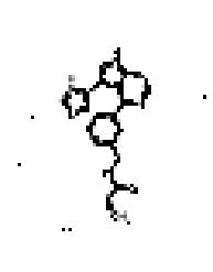 C=CC(=O)NCc1cccc(-c2ncnc3[nH]cc(-c4cnc[nH]4)c23)c1